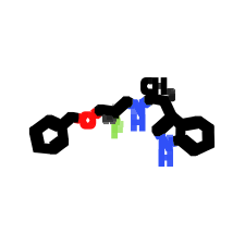 CC(Cc1c[nH]c2ccccc12)NC[C@@H](F)COCc1ccccc1